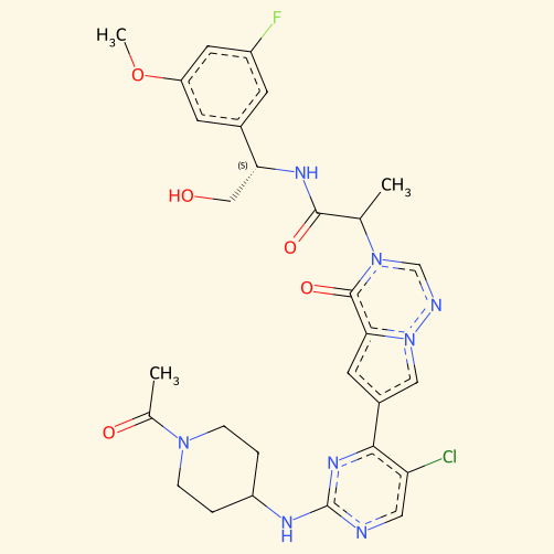 COc1cc(F)cc([C@@H](CO)NC(=O)C(C)n2cnn3cc(-c4nc(NC5CCN(C(C)=O)CC5)ncc4Cl)cc3c2=O)c1